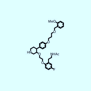 COc1ccccc1COCCCOc1ccc(C2CCNCC2OCCOc2ccc(F)cc2CCNC(C)=O)cc1